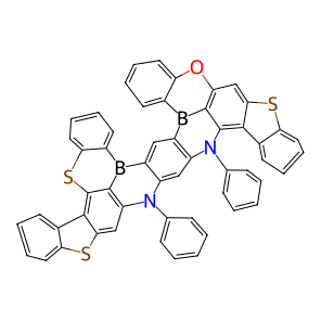 c1ccc(N2c3cc4c(cc3B3c5ccccc5Sc5c3c2cc2sc3ccccc3c52)B2c3ccccc3Oc3cc5sc6ccccc6c5c(c32)N4c2ccccc2)cc1